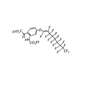 CCOC(=O)Nc1ccc(OC(F)=C(F)C(F)(F)C(F)(F)C(F)(F)C(F)(F)C(F)(F)C(F)(F)C(F)(F)F)cc1NC(=O)OCC